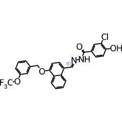 O=C(N/N=C/c1ccc(OCc2cccc(OC(F)(F)F)c2)c2ccccc12)c1ccc(O)c(Cl)c1